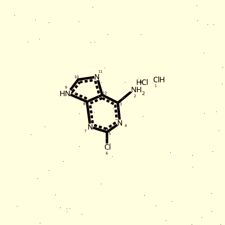 Cl.Cl.Nc1nc(Cl)nc2[nH]cnc12